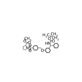 COC(=O)C1CCCN1S(=O)(=O)c1ccc(COc2cccc(C(NC(=O)OC(C)(C)C)c3ccccc3)c2)cc1